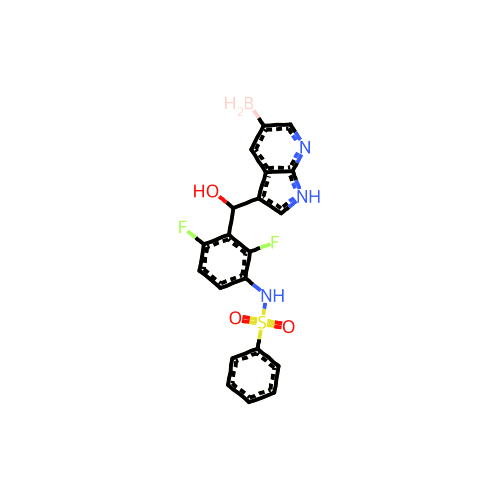 Bc1cnc2[nH]cc(C(O)c3c(F)ccc(NS(=O)(=O)c4ccccc4)c3F)c2c1